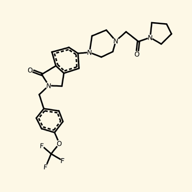 O=C(CN1CCN(c2ccc3c(c2)CN(Cc2ccc(OC(F)(F)F)cc2)C3=O)CC1)N1CCCC1